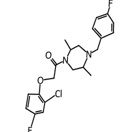 CC1CN(C(=O)COc2ccc(F)cc2Cl)C(C)CN1Cc1ccc(F)cc1